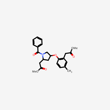 COC(=O)Cc1cc(C)ccc1OC1CC(CC(=O)OC)N(C(=O)c2ccccc2)C1